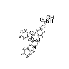 O=C(C=Cc1ccc2c(c1)C(=O)N(Cc1ccccc1)C1(CCN(Cc3ccccc3)CC1)O2)NO